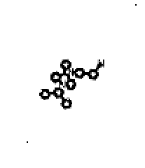 N#Cc1cccc(-c2ccc(N3c4ccccc4C4c5ccccc5N(c5cc(-c6ccccc6)cc(-c6ccccc6)c5)c5ccccc5C43)cc2)c1